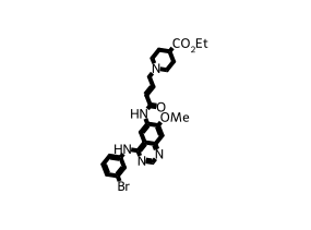 CCOC(=O)C1CCN(CC=CC(=O)Nc2cc3c(Nc4cccc(Br)c4)ncnc3cc2OC)CC1